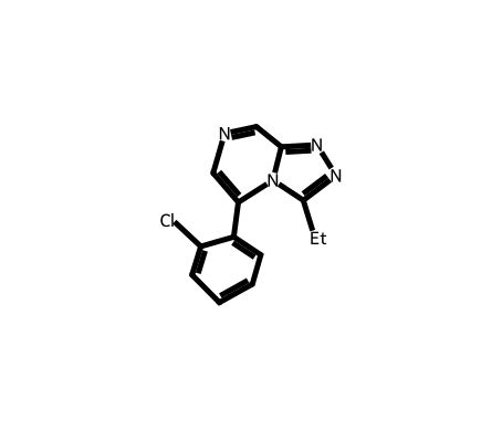 CCc1nnc2cncc(-c3ccccc3Cl)n12